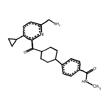 CNC(=O)c1ccc(C2CCC(C(=O)c3nc(CN)ccc3C3CC3)CC2)cc1